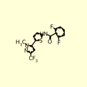 Cn1nc(C(F)(F)F)cc1-c1ccc(NC(=O)c2c(F)cccc2F)s1